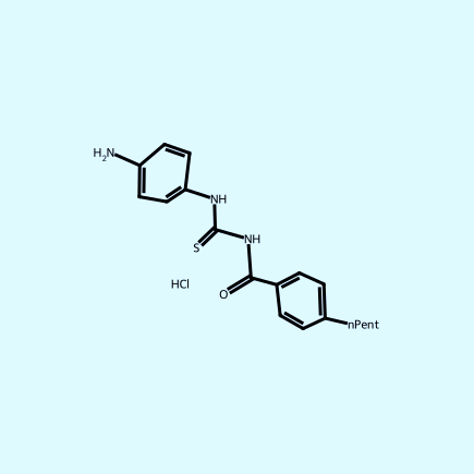 CCCCCc1ccc(C(=O)NC(=S)Nc2ccc(N)cc2)cc1.Cl